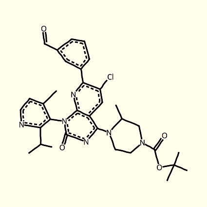 Cc1ccnc(C(C)C)c1-n1c(=O)nc(N2CCN(C(=O)OC(C)(C)C)CC2C)c2cc(Cl)c(-c3cccc(C=O)c3)nc21